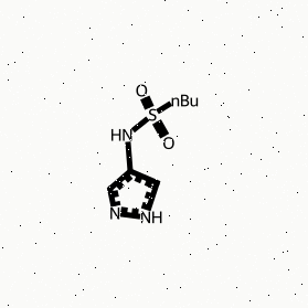 CCCCS(=O)(=O)Nc1cn[nH]c1